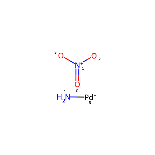 O=[N+]([O-])[O-].[NH2][Pd+]